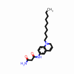 CCCCCCCCCCN1CC=Cc2cc(NC(=O)CC(N)=O)ccc21